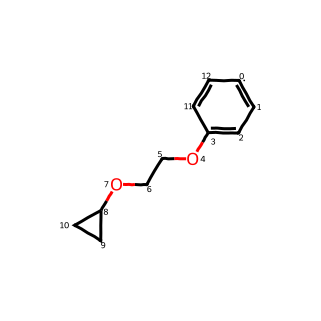 [c]1ccc(OCCOC2CC2)cc1